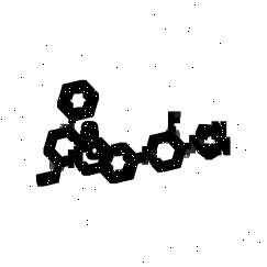 C=C[C@H]1CC[C@H](c2ccccc2)S(=O)(=O)N1Cc1ccc(N2CC[C@@H](n3cnnc3)[C@H](F)C2)cc1I